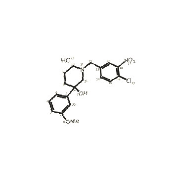 COc1cccc(C2(O)CCCN(Cc3ccc(Cl)c([N+](=O)[O-])c3)C2)c1.Cl